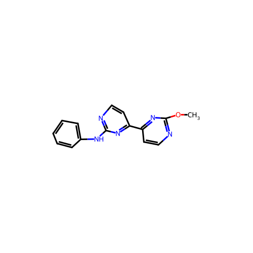 COc1nccc(-c2ccnc(Nc3ccccc3)n2)n1